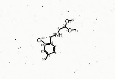 COC(CNCc1ccc(C)cc1Cl)OC